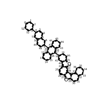 c1ccc(-c2ccc3cc(-c4c5ccccc5c(-c5ccc6oc7c(ccc8oc9ccc%10ccccc%10c9c87)c6c5)c5ccccc45)ccc3c2)cc1